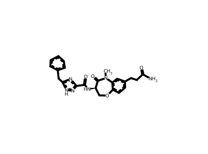 CN1C(=O)[C@H](NC(=O)c2n[nH]c(Cc3ccccc3)n2)COc2ccc(CCC(N)=O)cc21